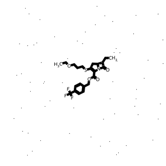 CCOCCCSC1=C(C(=O)OCc2ccc(C(F)(F)F)cc2)N2C(=O)C(CC)C2C1